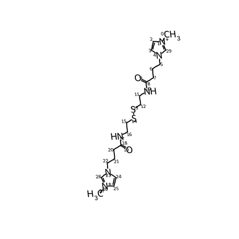 C[n+]1ccn(CCCC(=O)NCCSSCCNC(=O)CCCn2cc[n+](C)c2)c1